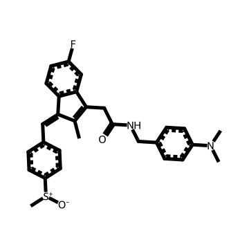 CC1=C(CC(=O)NCc2ccc(N(C)C)cc2)c2cc(F)ccc2C1=Cc1ccc([S+](C)[O-])cc1